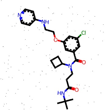 CC(C)(C)NC(=O)CCN(C(=O)c1cc(Cl)cc(OCCNc2ccncc2)c1)C1CCC1